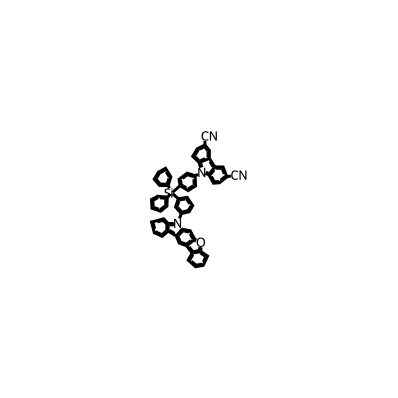 N#Cc1ccc2c(c1)c1cc(C#N)ccc1n2-c1ccc([Si](c2ccccc2)(c2ccccc2)c2cccc(-n3c4ccccc4c4cc5c(cc43)oc3ccccc35)c2)cc1